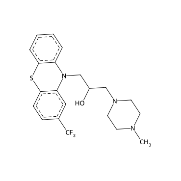 CN1CCN(CC(O)CN2c3ccccc3Sc3ccc(C(F)(F)F)cc32)CC1